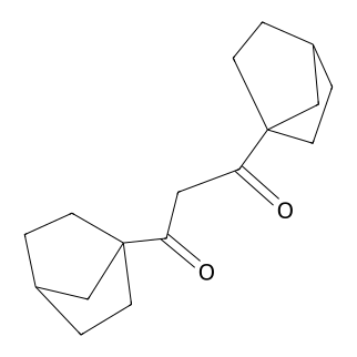 O=C(CC(=O)C12CCC(CC1)C2)C12CCC(CC1)C2